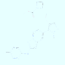 Cc1ccc(Nc2cc3cc(-c4c(OC[C@H]5CCN5C(=O)OC(C)(C)C)cnn4C)ccn3n2)nn1